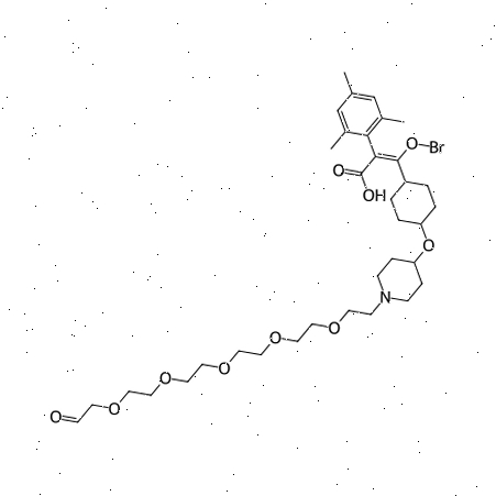 Cc1cc(C)c(/C(C(=O)O)=C(\OBr)C2CCC(OC3CCN(CCOCCOCCOCCOCCOCC=O)CC3)CC2)c(C)c1